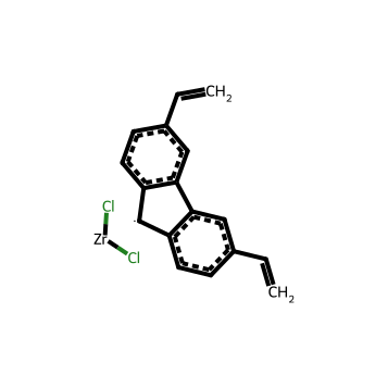 C=Cc1ccc2c(c1)-c1cc(C=C)ccc1[CH]2.[Cl][Zr][Cl]